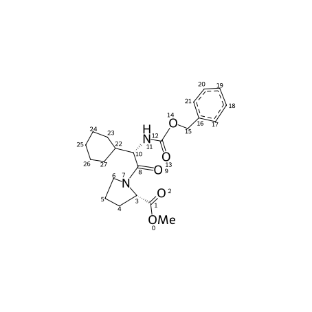 COC(=O)[C@@H]1CCCN1C(=O)[C@@H](NC(=O)OCc1ccccc1)C1CCCCC1